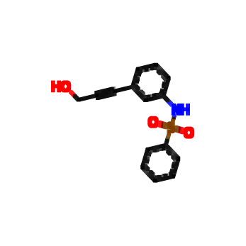 O=S(=O)(Nc1cccc(C#CCO)c1)c1ccccc1